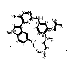 COc1ccc2c(c1)c(-c1nc(Nc3ccc(N(C)CCN(C)C)c(NC(C)=O)c3)ncc1F)cn2C